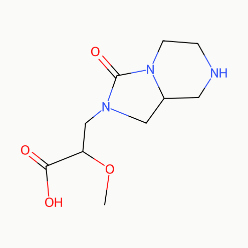 COC(CN1CC2CNCCN2C1=O)C(=O)O